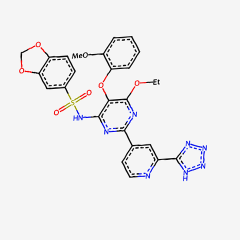 CCOc1nc(-c2ccnc(-c3nnn[nH]3)c2)nc(NS(=O)(=O)c2ccc3c(c2)OCO3)c1Oc1ccccc1OC